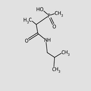 CC(C)CNC(=O)C(C)P(C)(=O)O